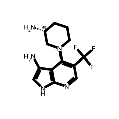 Nc1c[nH]c2ncc(C(F)(F)F)c(N3CCC[C@@H](N)C3)c12